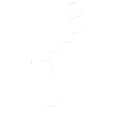 CC(=CCOCC1COc2ccccc2O1)CCOCCC(C)C